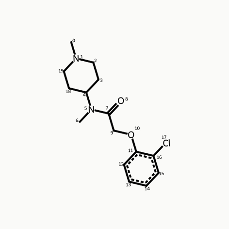 CN1CCC(N(C)C(=O)COc2ccccc2Cl)CC1